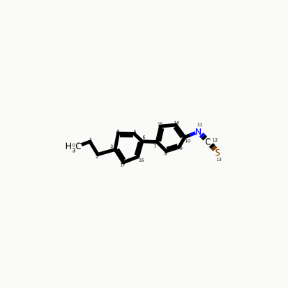 CCCc1ccc(-c2ccc(N=C=S)cc2)cc1